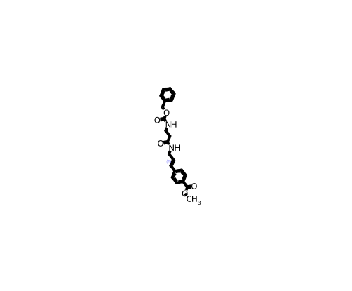 COC(=O)c1ccc(/C=C/CNC(=O)CCNC(=O)OCc2ccccc2)cc1